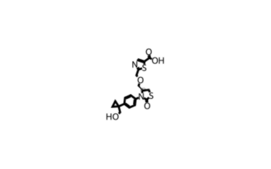 O=C(O)c1cnc(COC[C@H]2CSC(=O)N2c2ccc(C3(CO)CC3)cc2)s1